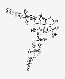 N#CCC(C#N)C(C#N)(OP(=O)(O)O)C(C#N)(CC#N)CC#N.O=P([O-])([O-])[O-].O=P([O-])([O-])[O-].O=P([O-])([O-])[O-].[K+].[K+].[K+].[K+].[K+].[K+].[K+].[K+].[K+]